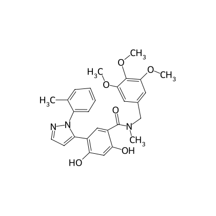 COc1cc(CN(C)C(=O)c2cc(-c3ccnn3-c3ccccc3C)c(O)cc2O)cc(OC)c1OC